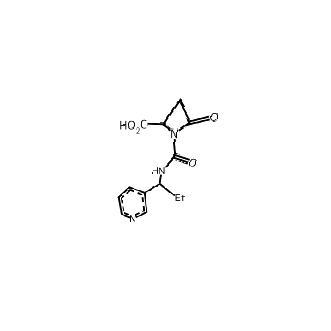 CCC(NC(=O)N1C(=O)CC1C(=O)O)c1cccnc1